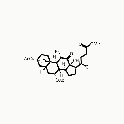 COC(=O)CC[C@@H](C)[C@H]1CC[C@H]2[C@H]3[C@H]([C@H](Br)C(=O)[C@]12C)[C@@]1(C)CC[C@@H](OC(C)=O)C[C@H]1C[C@H]3OC(C)=O